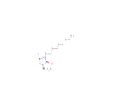 [2H]CCCCCCCCN1C(=O)CC(SC)C1=O